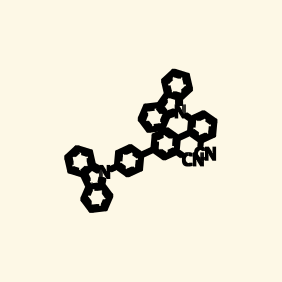 N#Cc1cc(-c2ccc(-n3c4ccccc4c4ccccc43)cc2)ccc1-c1c(C#N)cccc1-n1c2ccccc2c2ccccc21